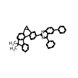 CC1(C)c2ccccc2-c2c1ccc1c2-c2ccc(-c3nc(-c4ccccc4)c4cc(-c5ccccc5)ccc4n3)cc2C2CC12